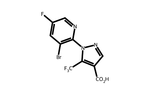 O=C(O)c1cnn(-c2ncc(F)cc2Br)c1C(F)(F)F